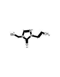 C/C=C/n1ncn(CC(C)(C)C)c1=O